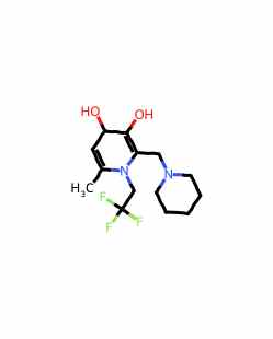 CC1=CC(O)C(O)=C(CN2CCCCC2)N1CC(F)(F)F